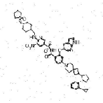 O=C(NS(=O)(=O)c1cnc(NCC2CCC(N=S3(=O)CCCC3)CC2)c([N+](=O)[O-])c1)c1ccc(N2CCC3(CC2)CC(C2CCC[C@@H]2c2ccccc2C2CC2)C3)cc1Oc1cnc2[nH]ccc2c1